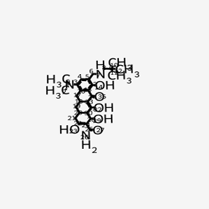 CN(C)c1cc(CNCC(C)(C)C)c(O)c2c1CC1CC3CC(O)=C(C(N)=O)C(O)C3C(O)=C1C2=O